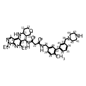 CCc1nc2c(cnn2CC)c(NC2CCOCC2)c1CNC(=O)CC(=O)NCc1ccc(C)c(-c2cccc(CN3CCNCC3)c2)c1